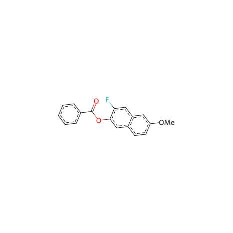 COc1ccc2cc(OC(=O)c3ccccc3)c(F)cc2c1